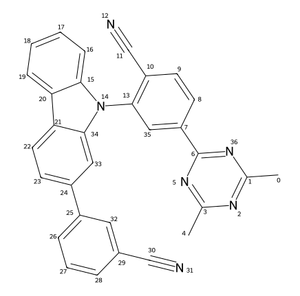 Cc1nc(C)nc(-c2ccc(C#N)c(-n3c4ccccc4c4ccc(-c5cccc(C#N)c5)cc43)c2)n1